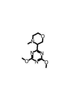 COc1nc(OC)nc(C2COCCN2C)n1